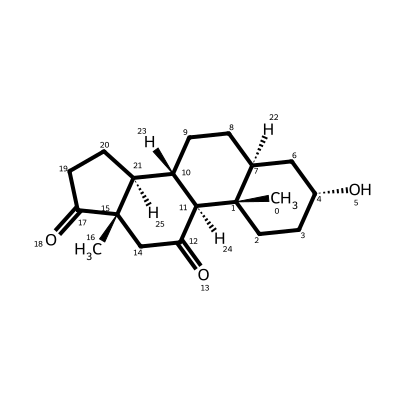 C[C@]12CC[C@@H](O)C[C@@H]1CC[C@@H]1[C@@H]2C(=O)C[C@]2(C)C(=O)CC[C@@H]12